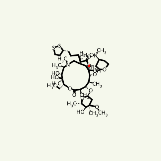 CC[C@H]1OC(=O)[C@H](C)[C@@H](O[C@H]2C[C@@](C)(OC)[C@@H](O)[C@H](C)O2)[C@H](C)[C@@H](O[C@@H]2OCC[C@H](N(C)C)[C@H]2OC(=O)CCCC[C@@H]2CCSS2)[C@](C)(O)C[C@@H](C)CN(C)[C@H](C)[C@@H](O)[C@]1(C)O